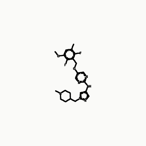 COc1cc(C)c(F)c(COc2cnc(Nc3cnn(CC4CCN(C)CC4)c3)nc2)c1F